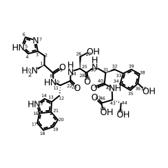 N[C@@H](Cc1c[nH]cn1)C(=O)N[C@@H](Cc1c[nH]c2ccccc12)C(=O)N[C@@H](CO)C(=O)N[C@@H](Cc1ccc(O)cc1)C(=O)N[C@H](CO)C(=O)O